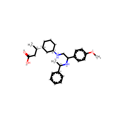 COc1ccc(C(CN[C@@H]2CCC[C@@H](C(C)CC(=O)O)C2)NC(C)c2ccccc2)cc1